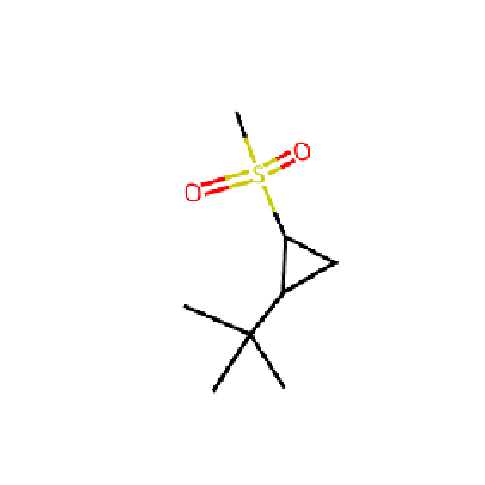 CC(C)(C)C1CC1S(C)(=O)=O